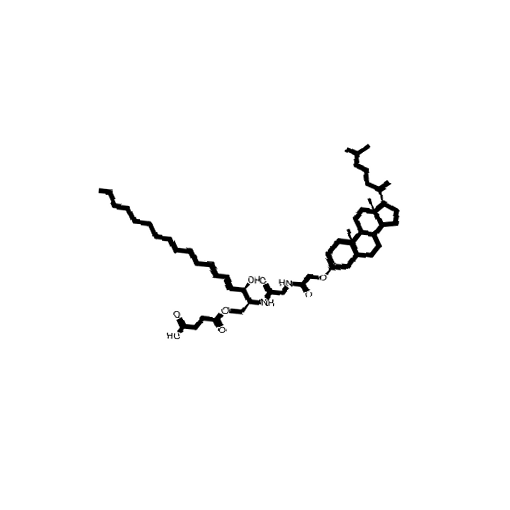 CCCCCCCCCCCCC/C=C/[C@@H](O)[C@H](COC(=O)CCC(=O)O)NC(=O)CNC(=O)CO[C@H]1CC[C@@]2(C)C(CCC3C2CC[C@@]2(C)C3CC[C@@H]2C(C)CCCC(C)C)C1